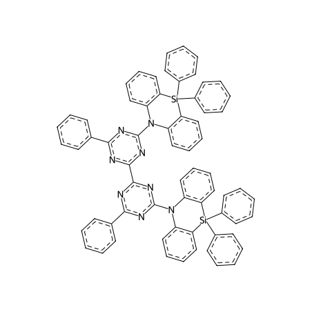 c1ccc(-c2nc(-c3nc(-c4ccccc4)nc(N4c5ccccc5[Si](c5ccccc5)(c5ccccc5)c5ccccc54)n3)nc(N3c4ccccc4[Si](c4ccccc4)(c4ccccc4)c4ccccc43)n2)cc1